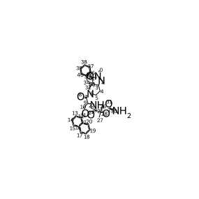 CN1N=C2CCN(C(=O)C(COc3cccc4ccccc34)NC(=O)C(C)(C)OC(N)=O)C[C@@]2(Cc2ccccc2)C1=O